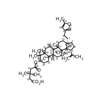 C=C(C)[C@@H]1CC[C@]2(CCc3cc(C)on3)CC[C@]3(C)[C@H](CC[C@@H]4[C@@]5(C)CC[C@H](OC(=O)CC(C)(C)CC(=O)O)C(C)(C)[C@@H]5CC[C@]43C)[C@@H]12